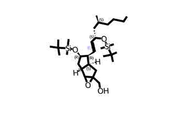 CCCC[C@H](C)C[C@@H](/C=C/[C@H]1[C@H]2CC3(CO)OC3[C@H]2C[C@H]1O[Si](C)(C)C(C)(C)C)O[Si](C)(C)C(C)(C)C